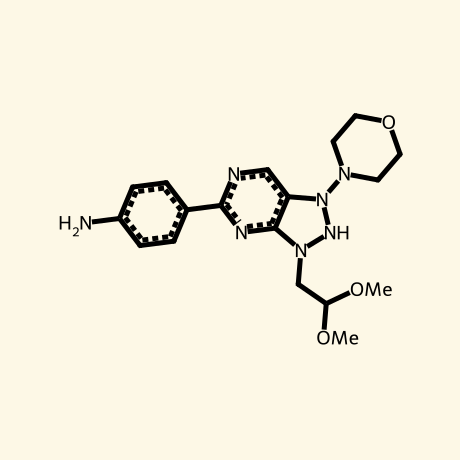 COC(CN1NN(N2CCOCC2)c2cnc(-c3ccc(N)cc3)nc21)OC